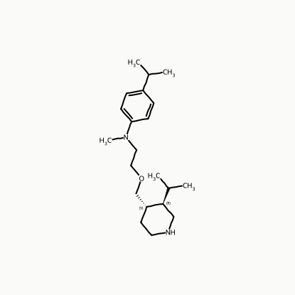 CC(C)c1ccc(N(C)CCOC[C@H]2CCNC[C@@H]2C(C)C)cc1